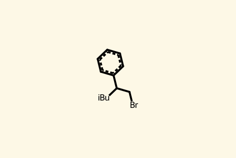 CCC(C)C(CBr)c1ccccc1